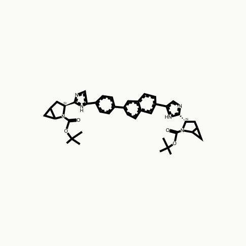 CC(C)(C)OC(=O)N1C2CC2C[C@H]1c1ncc(-c2ccc(-c3ccc4cc(-c5cnc([C@@H]6CC7CC7N6C(=O)OC(C)(C)C)[nH]5)ccc4c3)cc2)[nH]1